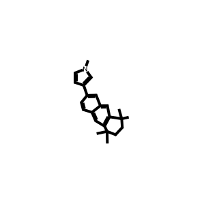 Cn1ccc(-c2ccc3cc4c(cc3c2)C(C)(C)CCC4(C)C)c1